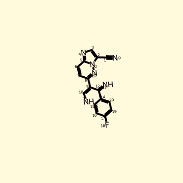 N#Cc1cnc2ccc(/C(=C/N)C(=N)c3ccc(F)cc3)nn12